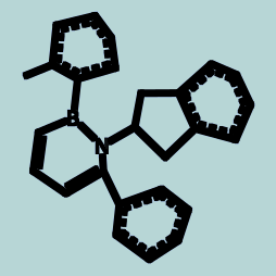 Cc1ccccc1B1C=CC=C(c2ccccc2)N1C1Cc2ccccc2C1